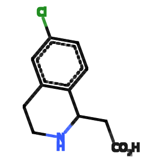 O=C(O)CC1NCCc2cc(Cl)ccc21